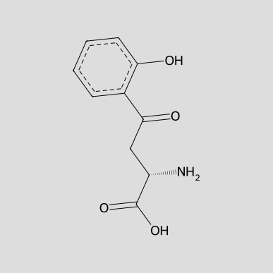 N[C@@H](CC(=O)c1ccccc1O)C(=O)O